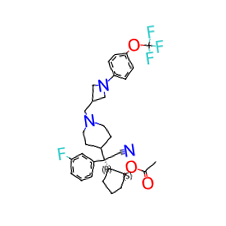 CC(=O)O[C@H]1CCC[C@@H]1C(C#N)(c1cccc(F)c1)C1CCN(CC2CN(c3ccc(OC(F)(F)F)cc3)C2)CC1